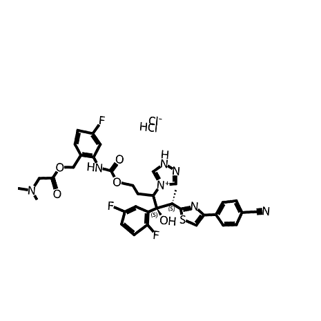 C[C@H](c1nc(-c2ccc(C#N)cc2)cs1)[C@](O)(c1cc(F)ccc1F)C(CCOC(=O)Nc1cc(F)ccc1COC(=O)CN(C)C)[n+]1cn[nH]c1.Cl.[Cl-]